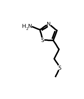 CSCCc1cnc(N)s1